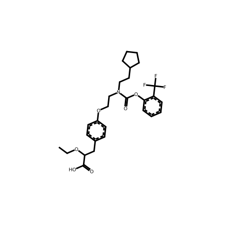 CCOC(Cc1ccc(OCCN(CCC2CCCC2)C(=O)Oc2ccccc2C(F)(F)F)cc1)C(=O)O